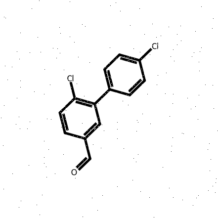 O=Cc1ccc(Cl)c(-c2ccc(Cl)cc2)c1